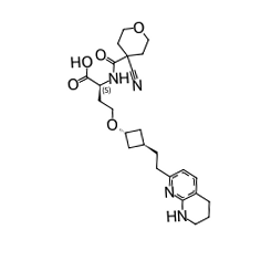 N#CC1(C(=O)N[C@@H](CCO[C@H]2C[C@H](CCc3ccc4c(n3)NCCC4)C2)C(=O)O)CCOCC1